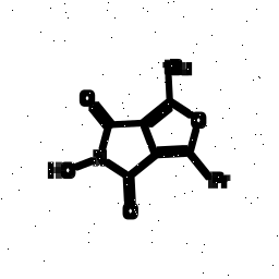 CC(C)c1oc(C(C)(C)C)c2c1C(=O)N(O)C2=O